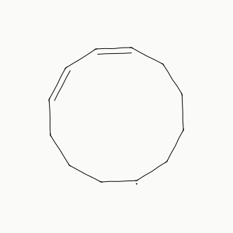 [CH]1CCCC=CC=CCCCC1